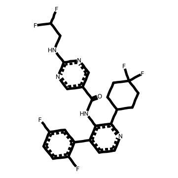 O=C(Nc1c(-c2cc(F)ccc2F)ccnc1C1CCC(F)(F)CC1)c1cnc(NCC(F)F)nc1